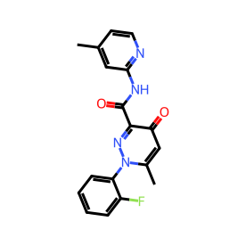 Cc1ccnc(NC(=O)c2nn(-c3ccccc3F)c(C)cc2=O)c1